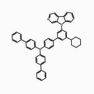 c1ccc(-c2ccc(N(c3ccc(-c4ccccc4)cc3)c3ccc(-c4cc(C5CCCCC5)cc(-n5c6ccccc6c6ccncc65)c4)cc3)cc2)cc1